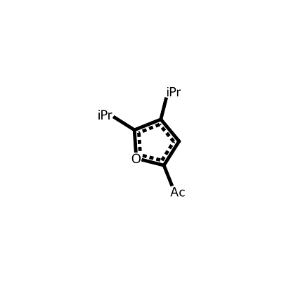 CC(=O)c1cc(C(C)C)c(C(C)C)o1